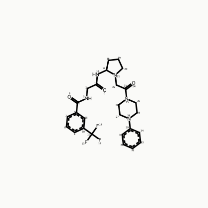 O=C(CNC(=O)c1cccc(C(F)(F)F)c1)NC1CCCN1CC(=O)N1CCN(c2ccccc2)CC1